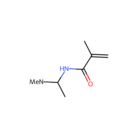 C=C(C)C(=O)NC(C)NC